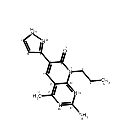 CCCn1c(=O)c(-c2cc[nH]n2)cc2c(C)nc(N)nc21